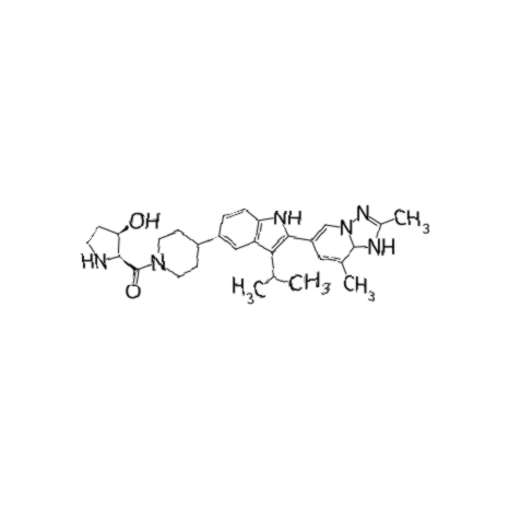 CC1=CC(c2[nH]c3ccc(C4CCN(C(=O)[C@H]5NCC[C@H]5O)CC4)cc3c2C(C)C)=CN2N=C(C)NC12